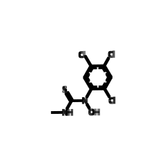 CNC(=S)N(O)c1cc(Cl)c(Cl)cc1Cl